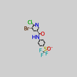 O=C(Nc1ccc([S+]([O-])C(F)(F)F)cc1)c1cnc(Cl)c(Br)c1